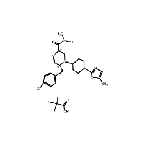 Cc1cnc(C2CCC(N3C[C@H](C(=O)N(C)C)OC[C@@H]3Cc3ccc(Cl)cc3)CC2)o1.O=C(O)C(F)(F)F